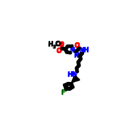 COC(=O)C1CCN(c2nc(CCCCCNC3C[C@H]3c3ccc(F)cc3)c[nH]c2=O)CC1